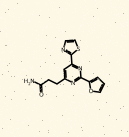 NC(=O)CCc1cc(-c2nccs2)nc(-c2ccco2)n1